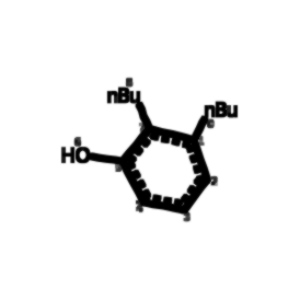 CCCCc1cc[c]c(O)c1CCCC